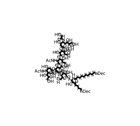 CCCCCCCCCCCCC/C=C/[C@@H](O)[C@H](CO[C@@H]1OC(CO)[C@@H](O[C@@H]2OC(CO)[C@H](O[C@@H]3OC(CO)[C@H](O)[C@H](O[C@@H]4OC(CO)[C@H](O)[C@H](O[C@]5(C(=O)O)CC(O)[C@@H](NC(=O)CO)C([C@H](O)[C@H](O)CO)O5)C4O)C3NC(C)=O)[C@H](O[C@]3(C(=O)O)CC(O)[C@@H](NC(C)=O)C([C@H](O)[C@H](O)CO)O3)C2O)[C@H](O)C1O)NC(=O)CCCCCCCCCCCCCCCCCCC